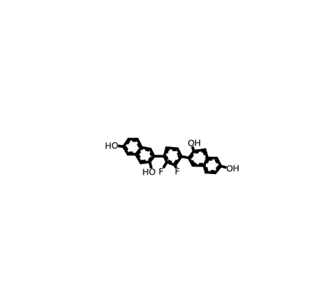 Oc1ccc2cc(-c3ccc(-c4cc5ccc(O)cc5cc4O)c(F)c3F)c(O)cc2c1